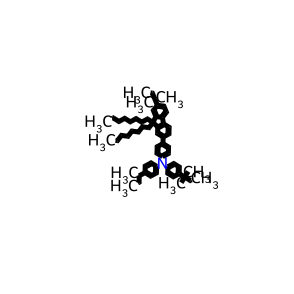 CCCCCCCCC1(CCCCCCCC)c2cc(-c3ccc(N(c4ccc(C(C)CC)cc4)c4ccc(C(C)(C)CC)cc4)cc3)ccc2-c2ccc(C(C)(C)CC)cc21